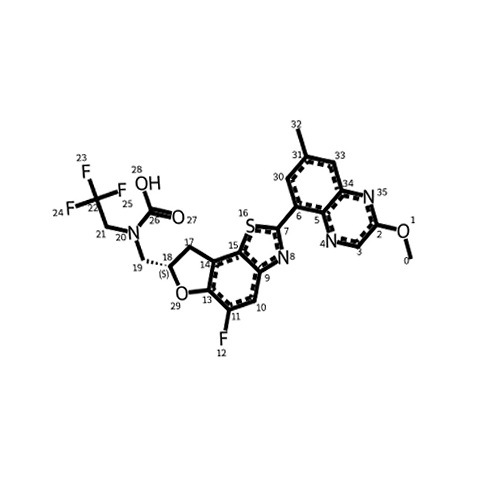 COc1cnc2c(-c3nc4cc(F)c5c(c4s3)C[C@@H](CN(CC(F)(F)F)C(=O)O)O5)cc(C)cc2n1